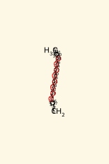 C=CCc1ccc(OCCOCCOCCOCCOCCOCCOCCOC2=CC=C(C)CC2)cc1